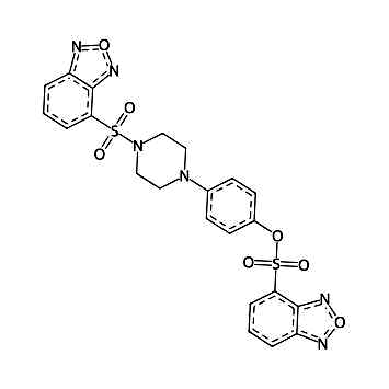 O=S(=O)(Oc1ccc(N2CCN(S(=O)(=O)c3cccc4nonc34)CC2)cc1)c1cccc2nonc12